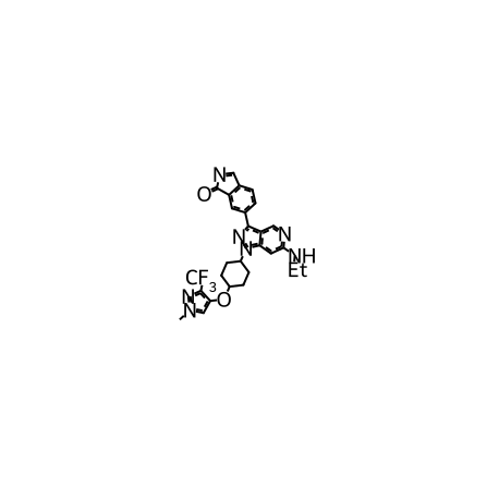 CCNc1cc2c(cn1)c(-c1ccc3c(c1)C(=O)N=C3)nn2C1CCC(Oc2cn(C)nc2C(F)(F)F)CC1